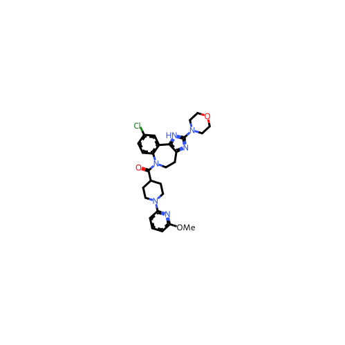 COc1cccc(N2CCC(C(=O)N3CCc4nc(N5CCOCC5)[nH]c4-c4cc(Cl)ccc43)CC2)n1